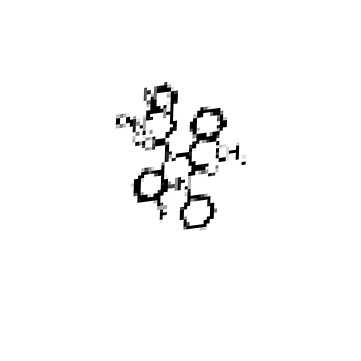 Cc1ccccc1C(C(=O)NC1CCCCC1)N(C(=O)Cn1ccnc1[N+](=O)[O-])c1cccc(F)c1